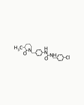 CC1CCCN(Cc2ccc(NC(=O)NCc3ccc(Cl)cc3)cc2)C1=O